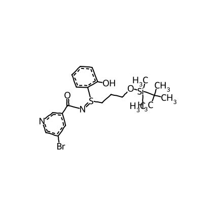 CC(C)(C)[Si](C)(C)OCCCS(=NC(=O)c1cncc(Br)c1)c1ccccc1O